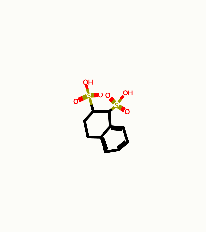 O=S(=O)(O)C1CCc2ccccc2C1S(=O)(=O)O